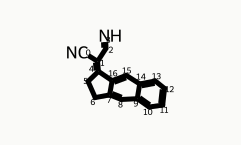 N#C/C(C=N)=C1\CCc2cc3ccccc3cc21